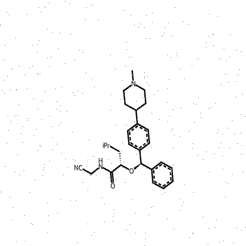 CC(C)C[C@H](O[C@H](c1ccccc1)c1ccc(C2CCN(C)CC2)cc1)C(=O)NCC#N